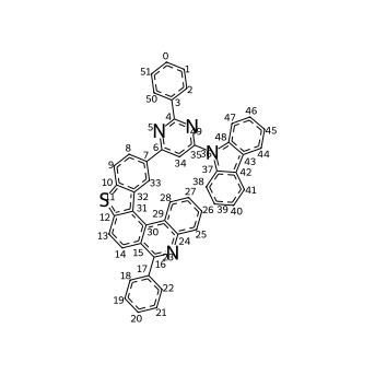 c1ccc(-c2nc(-c3ccc4sc5ccc6c(-c7ccccc7)nc7ccccc7c6c5c4c3)cc(-n3c4ccccc4c4ccccc43)n2)cc1